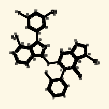 Cc1ccccc1-n1c(Cn2nc(-c3cc(O)cc(F)c3)c3c(N)ncnc32)nc2scc(C(F)(F)F)c2c1=O